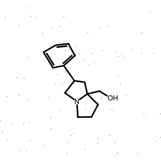 OCC12CCCN1CC(c1ccccc1)C2